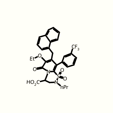 CCCN1CC(C(=O)O)n2c(c(-c3cccc(C(F)(F)F)c3)c(Cc3cccc4ccccc34)c(OCC)c2=O)S1(=O)=O